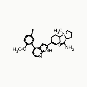 COc1ccc(F)cc1-c1ccnc2[nH]c(C3=CCC([N+]4(C)CCC[C@H]4C(N)=O)CC3)cc12